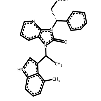 Cc1cccc2[nH]cc(C(C)n3c(=O)n([C@H](CC(=O)O)c4ccccc4)c4ncccc43)c12